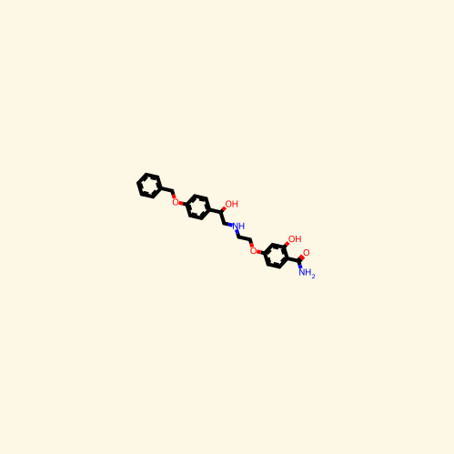 NC(=O)c1ccc(OCCNCC(O)c2ccc(OCc3ccccc3)cc2)cc1O